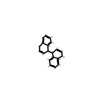 C1=IC(C2I=CCc3ccccc32)c2ccccc2C1